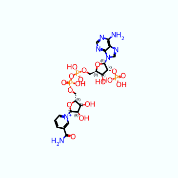 NC(=O)c1ccc[n+]([C@H]2O[C@H](COP(=O)(O)OP(=O)(O)OC[C@H]3O[C@@H](n4cnc5c(N)ncnc54)[C@H](OP(=O)(O)O)[C@@H]3O)[C@@H](O)[C@H]2O)c1